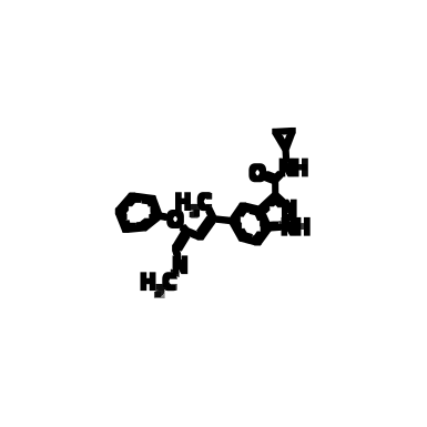 C=N/C=C(\C=C(/C)c1ccc2[nH]nc(C(=O)NC3CC3)c2c1)Oc1ccccc1